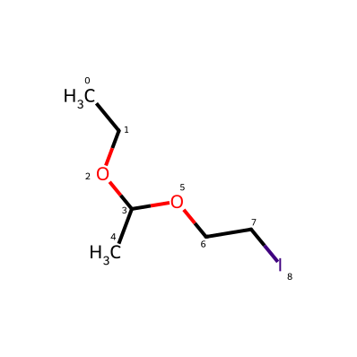 CCOC(C)OCCI